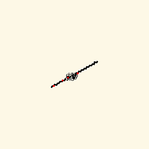 CCCCCCCCCCCCCCCCCC(=O)N[C@@H](CCC(=O)OCCCCCCCCCCCC)C(=O)O